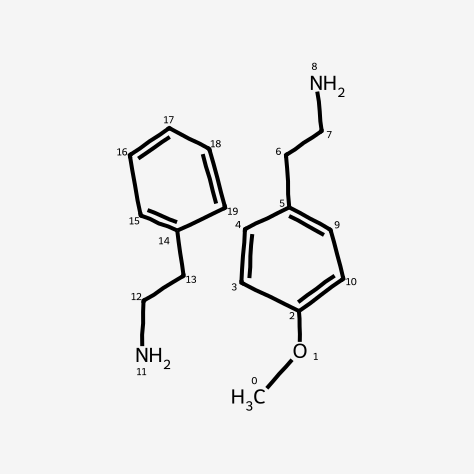 COc1ccc(CCN)cc1.NCCc1ccccc1